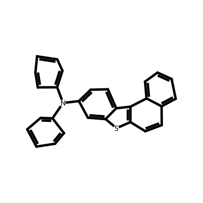 c1ccc(N(c2ccccc2)c2ccc3c(c2)sc2ccc4ccccc4c23)cc1